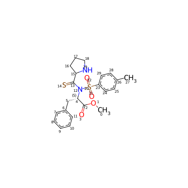 COC(=O)[C@H](Cc1ccccc1)N(C(=S)C1CCCN1)S(=O)(=O)c1ccc(C)cc1